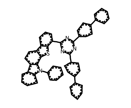 c1ccc(-c2ccc(-c3nc(-c4ccc(-c5ccccc5)cc4)nc(-c4cccc5c4sc4c5ccc5c6ccccc6n(-c6ccccc6)c54)n3)cc2)cc1